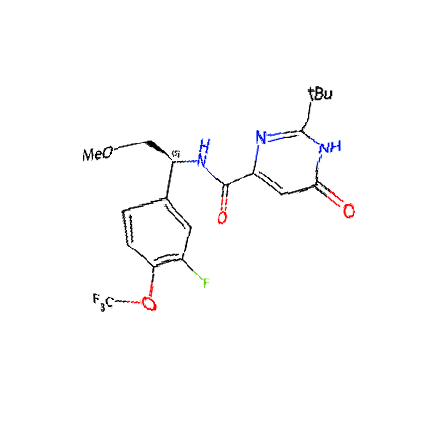 COC[C@@H](NC(=O)c1cc(=O)[nH]c(C(C)(C)C)n1)c1ccc(OC(F)(F)F)c(F)c1